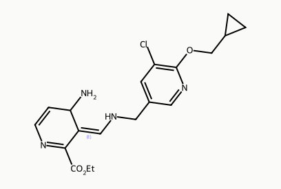 CCOC(=O)C1=NC=CC(N)/C1=C\NCc1cnc(OCC2CC2)c(Cl)c1